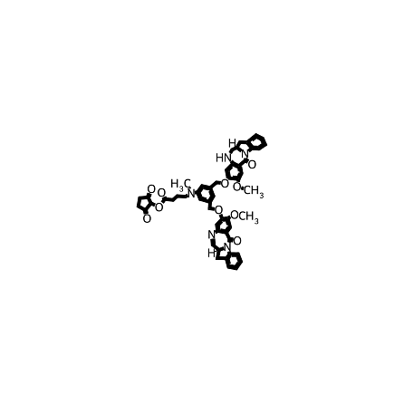 COc1cc2c(cc1OCc1cc(COc3cc4c(cc3OC)C(=O)N3c5ccccc5C[C@H]3CN4)cc(N(C)CCCC(=O)OC3C(=O)CCC3=O)c1)N=C[C@@H]1Cc3ccccc3N1C2=O